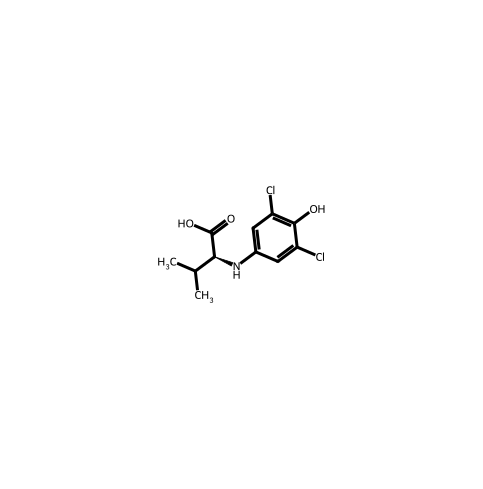 CC(C)[C@H](Nc1cc(Cl)c(O)c(Cl)c1)C(=O)O